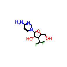 NC1=NCN([C@@H]2OC(CO)[C@@H](C(F)F)[C@H]2O)C=C1